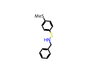 CSc1ccc(SNCc2ccccc2)cc1